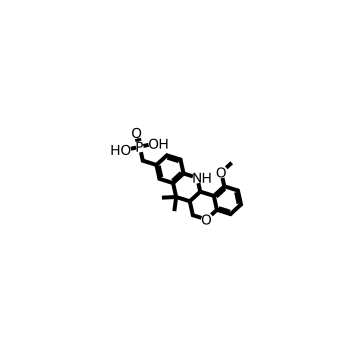 COc1cccc2c1C1Nc3ccc(CP(=O)(O)O)cc3C(C)(C)C1CO2